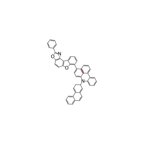 C1=c2ccc3ccccc3c2=CCC1N(c1ccc(-c2cccc3c2oc2ccc4oc(-c5ccccc5)nc4c23)cc1)c1ccccc1-c1ccccc1